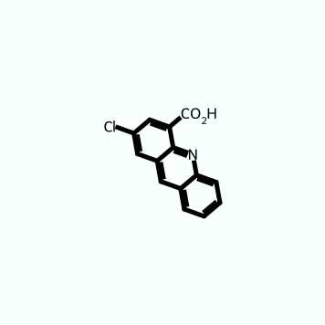 O=C(O)c1cc(Cl)cc2cc3ccccc3nc12